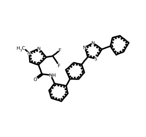 Cn1cc(C(=O)Nc2ccccc2-c2ccc(-c3nnc(-c4ccccc4)s3)cc2)c(C(F)F)n1